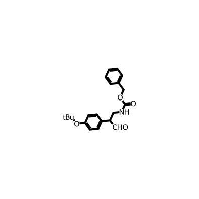 CC(C)(C)Oc1ccc(C(C=O)CNC(=O)OCc2ccccc2)cc1